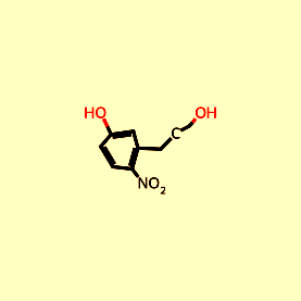 O=[N+]([O-])c1ccc(O)cc1CCCO